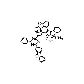 CC1(C)c2ccccc2-c2c1sc(-c1cccc(-c3nc(-c4ccccc4)nc(-c4ccc5c(c4)oc4ccccc45)n3)c1)c2-c1cccc2oc3ccccc3c12